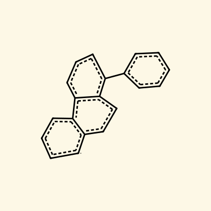 [c]1cccc2c1ccc1c(-c3ccccc3)cccc12